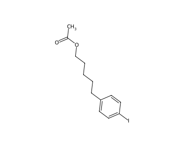 CC(=O)OCCCCCc1ccc(I)cc1